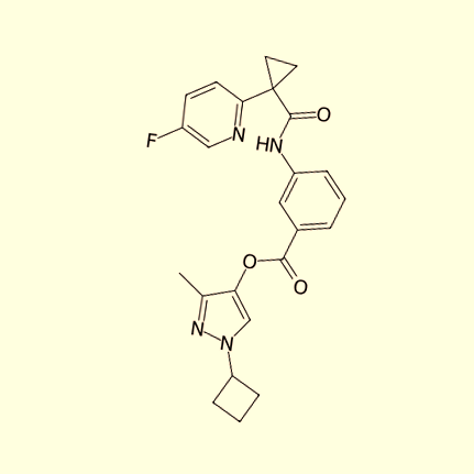 Cc1nn(C2CCC2)cc1OC(=O)c1cccc(NC(=O)C2(c3ccc(F)cn3)CC2)c1